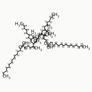 CCCCCCCCCCCCCOP(O)OCCC(C)C(CCCCC(CC(CCCCCCC)C(C)(C)C)C(C)CCOP(O)OCCCCCCCCCCCCC)CC(CCCCCCC)C(C)(C)C